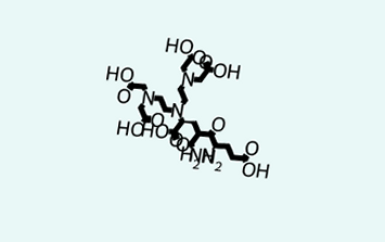 NC(=O)C(C[C@@H](C(=O)O)N(CCN(CC(=O)O)CC(=O)O)CCN(CC(=O)O)CC(=O)O)C(=O)[C@@H](N)CCC(=O)O